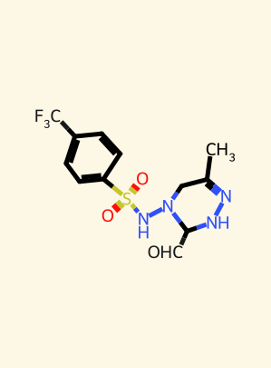 CC1=NNC(C=O)N(NS(=O)(=O)c2ccc(C(F)(F)F)cc2)C1